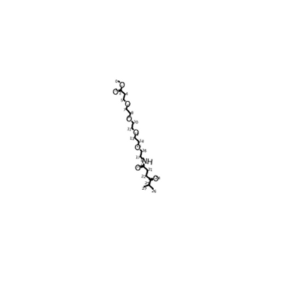 COC(=O)CCOCCOCCOCCOCCNC(=O)CCC(=O)C(C)C